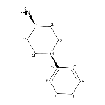 [NH][C@H]1CC[C@@H](c2ccccc2)CC1